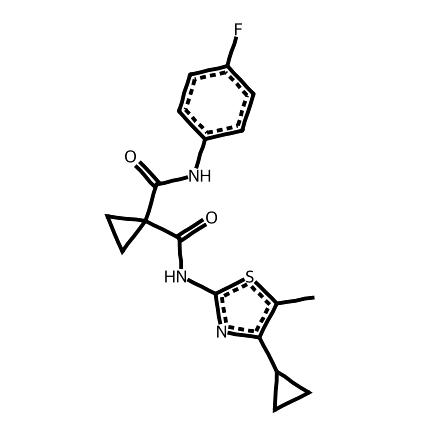 Cc1sc(NC(=O)C2(C(=O)Nc3ccc(F)cc3)CC2)nc1C1CC1